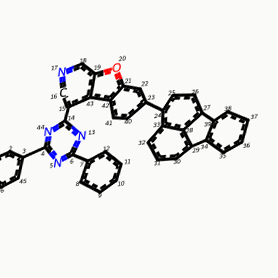 c1ccc(-c2nc(-c3ccccc3)nc(-c3cncc4oc5cc(-c6ccc7c8c(cccc68)-c6ccccc6-7)ccc5c34)n2)cc1